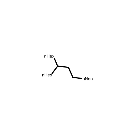 CCCCCCCCCCCC(CCCCCC)CCCCCC